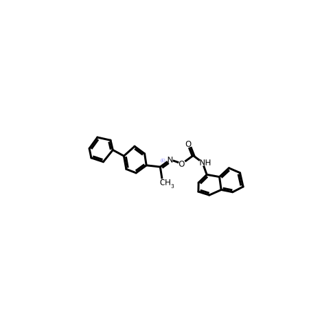 C/C(=N\OC(=O)Nc1cccc2ccccc12)c1ccc(-c2ccccc2)cc1